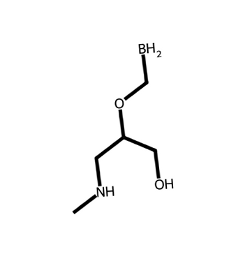 BCOC(CO)CNC